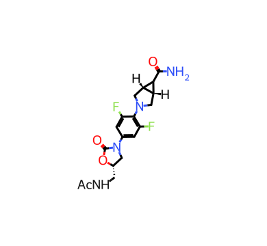 CC(=O)NC[C@H]1CN(c2cc(F)c(N3C[C@@H]4C(C(N)=O)[C@@H]4C3)c(F)c2)C(=O)O1